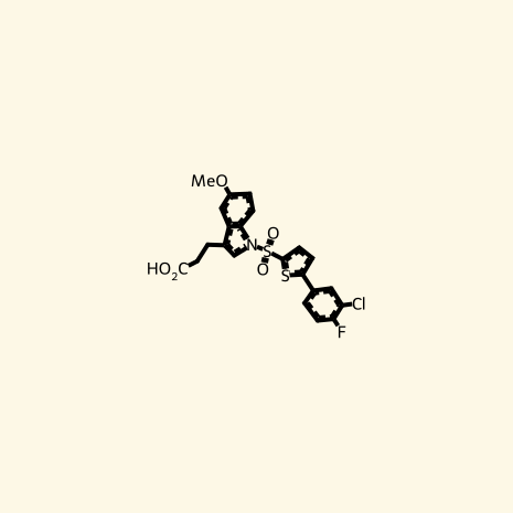 COc1ccc2c(c1)c(CCC(=O)O)cn2S(=O)(=O)c1ccc(-c2ccc(F)c(Cl)c2)s1